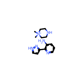 C[N+]1(C)CCNCC1.Nc1cccnc1-c1cc[nH]n1